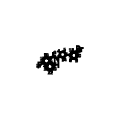 C[C@@H](NC1CC[C@@H](c2cccc(Br)c2)C1)c1ccc(F)c2ccccc12